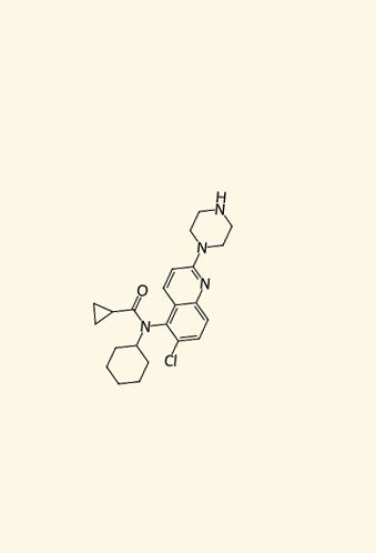 O=C(C1CC1)N(c1c(Cl)ccc2nc(N3CCNCC3)ccc12)C1CCCCC1